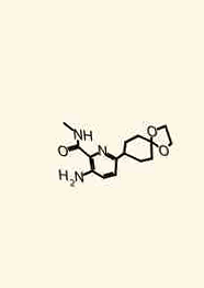 CNC(=O)c1nc(C2CCC3(CC2)OCCO3)ccc1N